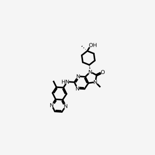 Cc1cc2nccnc2cc1Nc1ncc2c(n1)n([C@H]1CC[C@](C)(O)CC1)c(=O)n2C